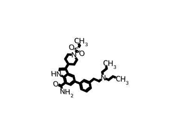 CCCN(CCC)CCc1cccc(-c2cc(C(N)=O)c3[nH]cc(C4CCN(S(=O)(=O)CC)CC4)c3c2)c1